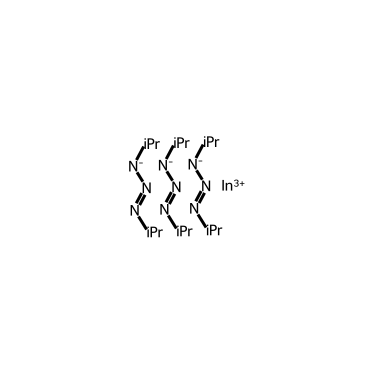 CC(C)N=N[N-]C(C)C.CC(C)N=N[N-]C(C)C.CC(C)N=N[N-]C(C)C.[In+3]